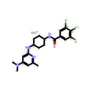 Cc1cc(N(C)C)cc(NC2CCC(NC(=O)c3cc(F)c(F)c(F)c3)CC2)n1.Cl